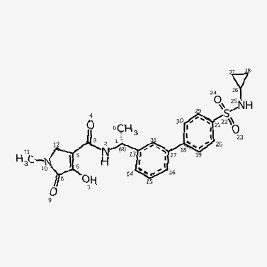 C[C@@H](NC(=O)C1=C(O)C(=O)N(C)C1)c1cccc(-c2ccc(S(=O)(=O)NC3CC3)cc2)c1